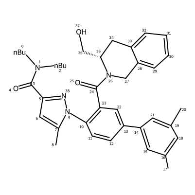 CCCCN(CCCC)C(=O)c1cc(C)n(-c2ccc(-c3cc(C)cc(C)c3)cc2C(=O)N2Cc3ccccc3C[C@H]2CO)n1